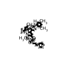 COc1ncc(-c2cnc(Nc3cc(C)cc(C)c3)nc2-n2nc(C(F)(F)F)cc2C)cc1C(=O)NS(=O)(=O)CCCN1CCOCC1